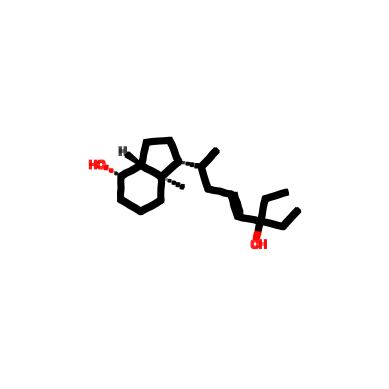 CCC(O)(/C=C/CC(C)[C@H]1CC[C@H]2[C@@H](O)CCC[C@]12C)CC